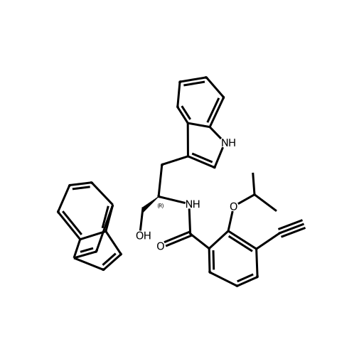 C#Cc1cccc(C(=O)N[C@@H](CO)Cc2c[nH]c3ccccc23)c1OC(C)C.C1=Cc2c3cccc2C1=C3